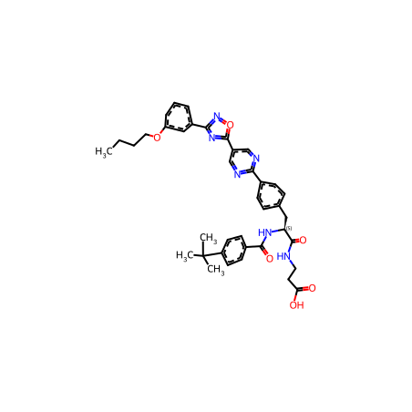 CCCCOc1cccc(-c2noc(-c3cnc(-c4ccc(C[C@H](NC(=O)c5ccc(C(C)(C)C)cc5)C(=O)NCCC(=O)O)cc4)nc3)n2)c1